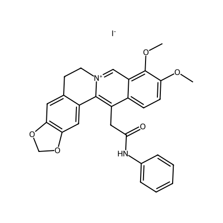 COc1ccc2c(CC(=O)Nc3ccccc3)c3[n+](cc2c1OC)CCc1cc2c(cc1-3)OCO2.[I-]